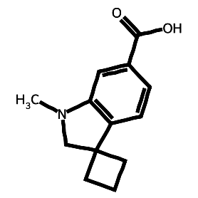 CN1CC2(CCC2)c2ccc(C(=O)O)cc21